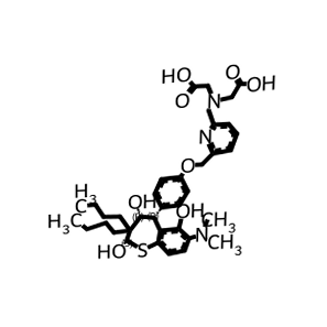 CCCCC1(CCCC)[C@H](O)[C@H](c2ccc(OCc3cccc(CN(CC(=O)O)CC(=O)O)n3)cc2)c2c(ccc(N(C)C)c2O)S[C@@H]1O